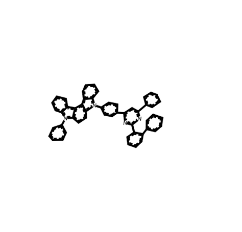 c1ccc(-c2cc(-c3ccc(-n4c5ccccc5c5c6c7ccccc7n(-c7ccccc7)c6ccc54)cc3)nc(-c3ccccc3-c3ccccc3)n2)cc1